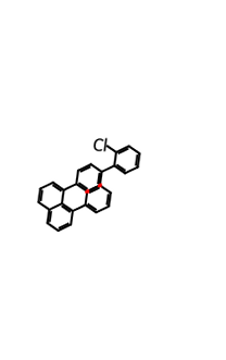 Clc1ccccc1-c1ccc(-c2cccc3cccc(-c4ccccc4)c23)cc1